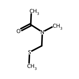 CSCN(C)C(C)=O